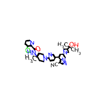 CC1(NC(=O)c2ncccc2Cl)CCN(c2ccc(-c3cc(N4CC(C(C)(C)O)C4)cn4ncc(C#N)c34)cn2)CC1